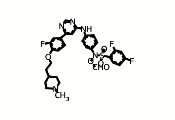 CN1CCC(CCOc2ccc(-c3cc(Nc4ccc(N(OC=O)S(=O)(=O)c5ccc(F)cc5F)cc4)ncn3)cc2F)CC1